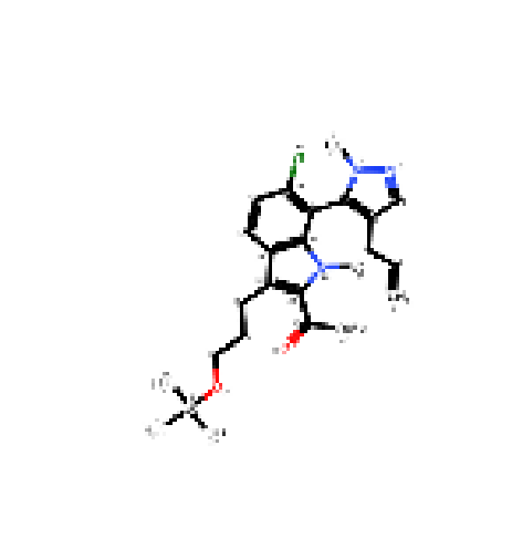 C=CCc1cnn(C)c1-c1c(Cl)ccc2c(CCCO[Si](C)(C)C(C)(C)C)c(C(=O)OC)n(CC)c12